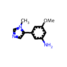 COc1cc(N)cc(-c2cncn2C)c1